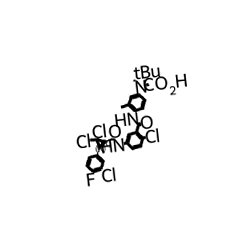 Cc1cc(N(CC(C)(C)C)C(=O)O)ccc1NC(=O)c1cc(NC(=O)[C@H]2[C@H](c3ccc(F)c(Cl)c3)C2(Cl)Cl)ccc1Cl